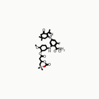 COC1CCC(Nc2cc(-n3nc(C)c4c3CC(C)(C)CC4=O)cc(F)c2C(N)=O)CC1OC(=O)CC(C[N+](C)(C)C)OC(C)=O.[Cl-]